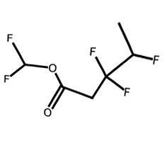 CC(F)C(F)(F)CC(=O)OC(F)F